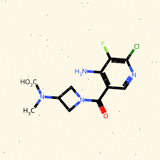 CN(C(=O)O)C1CN(C(=O)c2cnc(Cl)c(F)c2N)C1